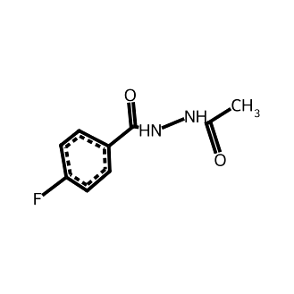 CC(=O)NNC(=O)c1ccc(F)cc1